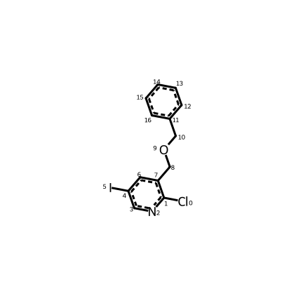 Clc1ncc(I)cc1COCc1ccccc1